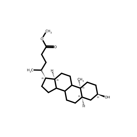 COC(=O)CCC(C)[C@H]1CCC2C3CC[C@@H]4C[C@H](O)CC[C@]4(C)C3CC[C@@H]21